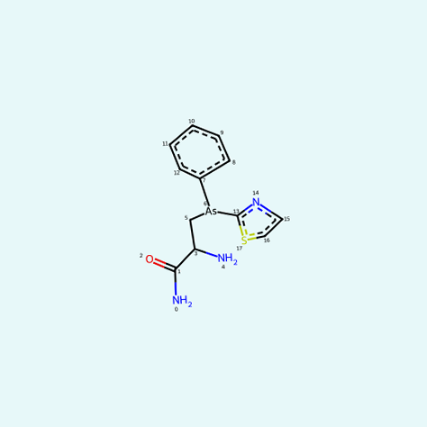 NC(=O)C(N)C[As](c1ccccc1)c1nccs1